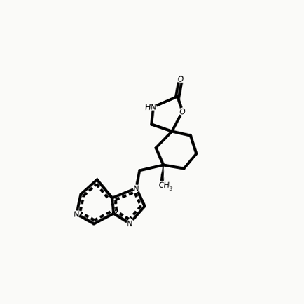 C[C@]1(Cn2cnc3cnccc32)CCCC2(CNC(=O)O2)C1